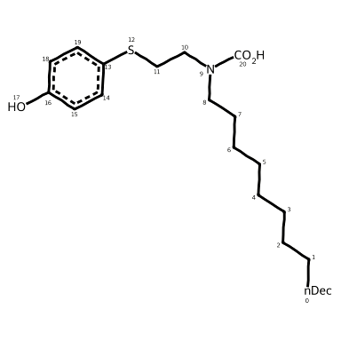 CCCCCCCCCCCCCCCCCCN(CCSc1ccc(O)cc1)C(=O)O